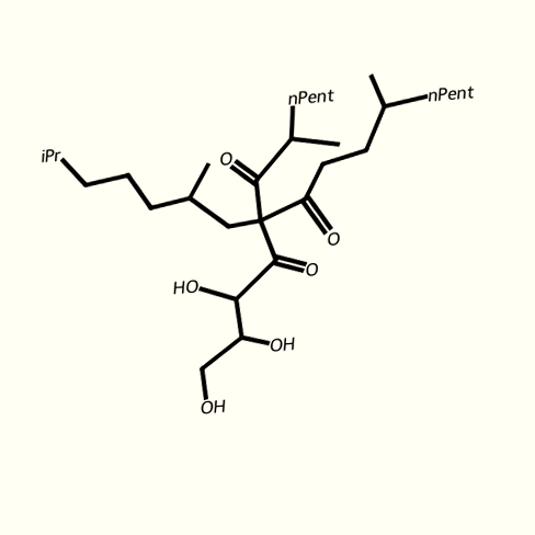 CCCCCC(C)CCC(=O)C(CC(C)CCCC(C)C)(C(=O)C(C)CCCCC)C(=O)C(O)C(O)CO